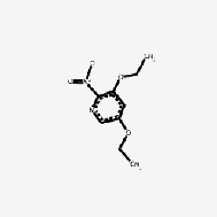 CCOc1cnc([N+](=O)[O-])c(OCC)c1